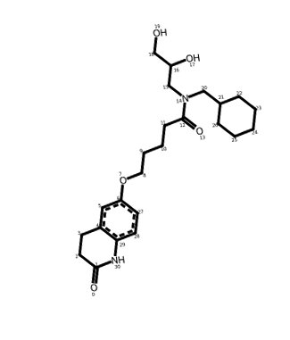 O=C1CCc2cc(OCCCCC(=O)N(CC(O)CO)CC3CCCCC3)ccc2N1